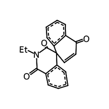 CCN1C(=O)c2ccccc2C2(C=CC(=O)c3ccccc32)C1=O